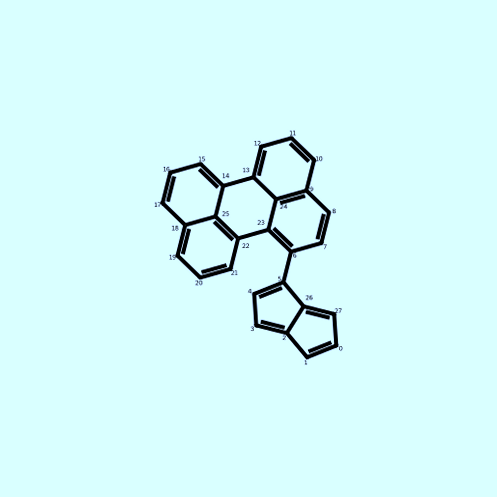 C1=CC2=CC=C(c3ccc4cccc5c6cccc7cccc(c3c45)c76)C2=C1